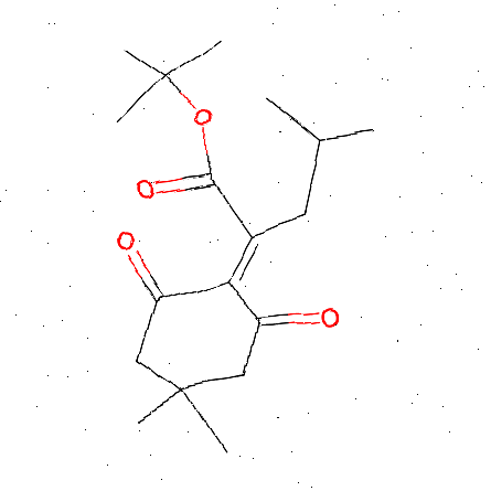 CC(C)CC(C(=O)OC(C)(C)C)=C1C(=O)CC(C)(C)CC1=O